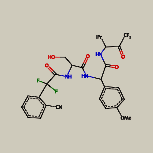 COc1ccc(C(NC(=O)C(CO)NC(=O)C(F)(F)c2ccccc2C#N)C(=O)NC(C(=O)C(F)(F)F)C(C)C)cc1